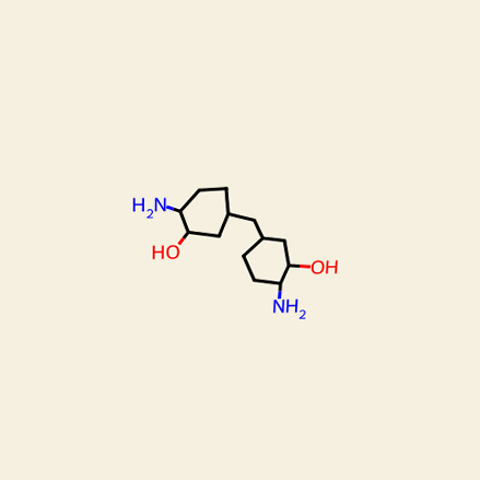 NC1CCC(CC2CCC(N)C(O)C2)CC1O